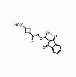 CC(ON=[N+]([O-])N1CC(C(=O)O)C1)N1C(=O)c2ccccc2C1=O